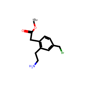 CC(C)(C)OC(=O)Cc1ccc(CBr)cc1CCN